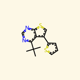 CC(C)(C)c1ncnc2scc(-c3cccs3)c12